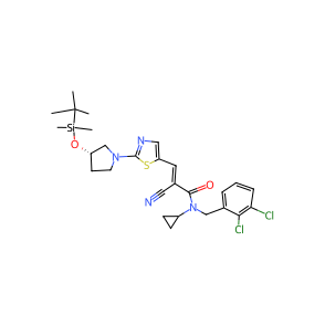 CC(C)(C)[Si](C)(C)O[C@H]1CCN(c2ncc(/C=C(\C#N)C(=O)N(Cc3cccc(Cl)c3Cl)C3CC3)s2)C1